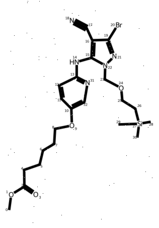 COC(=O)CCCCCOc1ccc(Nc2c(C#N)c(Br)nn2COCC[Si](C)(C)C)nc1